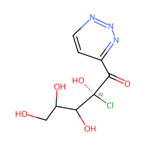 O=C(c1ccnnn1)[C@@](O)(Cl)C(O)C(O)CO